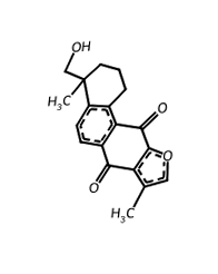 Cc1coc2c1C(=O)c1ccc3c(c1C2=O)CCCC3(C)CO